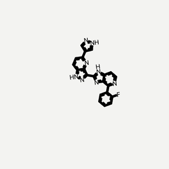 Fc1ccccc1-c1nccc2[nH]c(-c3n[nH]c4ccc(-c5cn[nH]c5)nc34)nc12